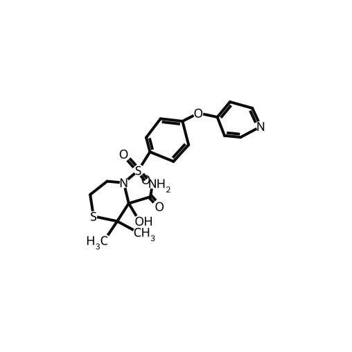 CC1(C)SCCN(S(=O)(=O)c2ccc(Oc3ccncc3)cc2)C1(O)C(N)=O